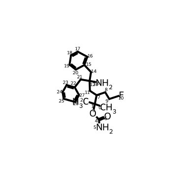 CC(C)(OC(N)=O)C(CCF)CC(N)(Cc1ccccc1)Cc1ccccc1